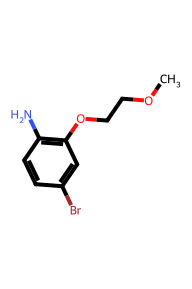 COCCOc1cc(Br)ccc1N